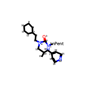 CCCCCNC(=O)N(CCC1CCCCC1)CC(C)Cc1ccncc1